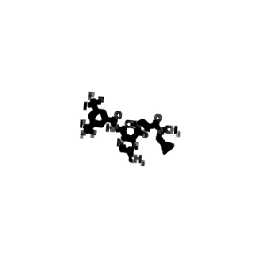 Cc1cnc(C(C)NC(=O)c2cc(C(F)(F)F)cc(C(F)(F)F)c2)c(-c2ncc(C(=O)N(C)CC3CC3)s2)n1